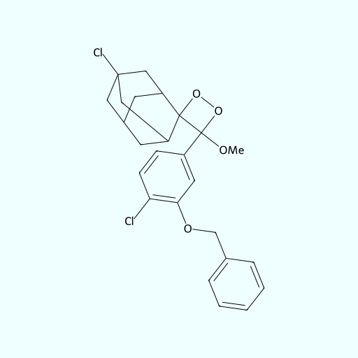 COC1(c2ccc(Cl)c(OCc3ccccc3)c2)OOC12C1CC3CC2CC(Cl)(C3)C1